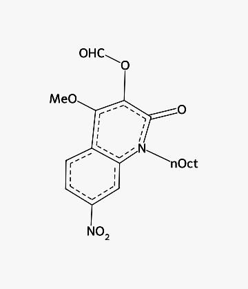 CCCCCCCCn1c(=O)c(OC=O)c(OC)c2ccc([N+](=O)[O-])cc21